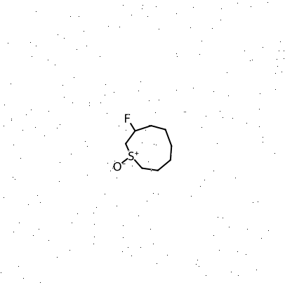 [O-][S+]1CCCCCCC(F)C1